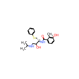 Cc1c(O)cccc1C(=O)N[C@@H](CSc1ccccc1)C(O)CNC(C)C